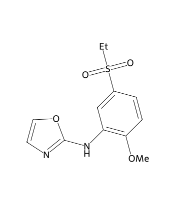 CCS(=O)(=O)c1ccc(OC)c(Nc2ncco2)c1